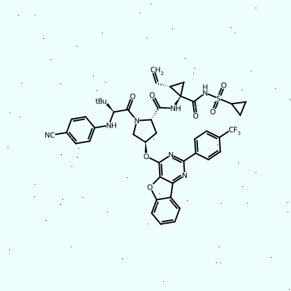 C=C[C@@H]1C[C@]1(NC(=O)[C@@H]1C[C@@H](Oc2nc(-c3ccc(C(F)(F)F)cc3)nc3c2oc2ccccc23)CN1C(=O)[C@@H](Nc1ccc(C#N)cc1)C(C)(C)C)C(=O)NS(=O)(=O)C1CC1